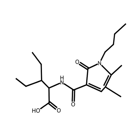 CCCCn1c(C)c(C)cc(C(=O)NC(C(=O)O)C(CC)CC)c1=O